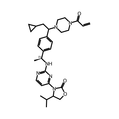 C=CC(=O)N1CCN(C(CC2CC2)c2ccc([C@H](C)Nc3nccc(N4C(=O)OCC4C(C)C)n3)cc2)CC1